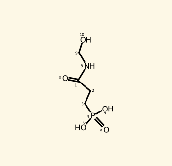 O=C(CCP(=O)(O)O)NCO